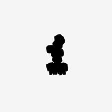 O=C1C(=CC2=CC=C(N3c4cccnc4[Te]c4ncccc43)C2)C(=O)c2cc3ccccc3cc21